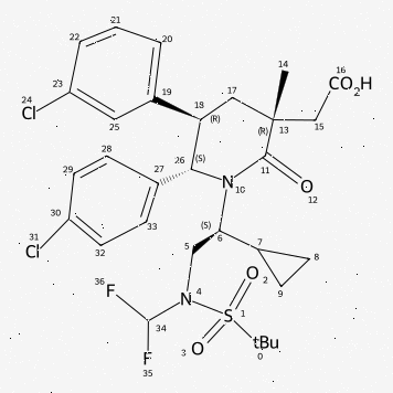 CC(C)(C)S(=O)(=O)N(C[C@H](C1CC1)N1C(=O)[C@@](C)(CC(=O)O)C[C@H](c2cccc(Cl)c2)[C@H]1c1ccc(Cl)cc1)C(F)F